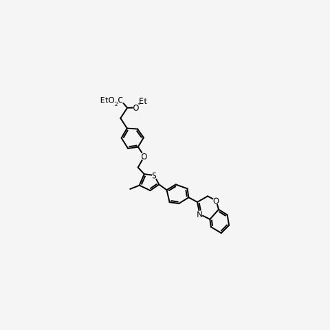 CCOC(=O)C(Cc1ccc(OCc2sc(-c3ccc(C4=Nc5ccccc5OC4)cc3)cc2C)cc1)OCC